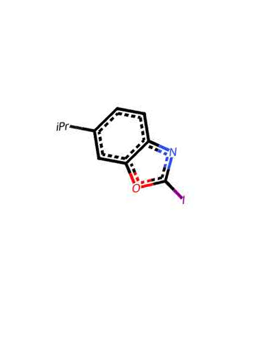 CC(C)c1ccc2nc(I)oc2c1